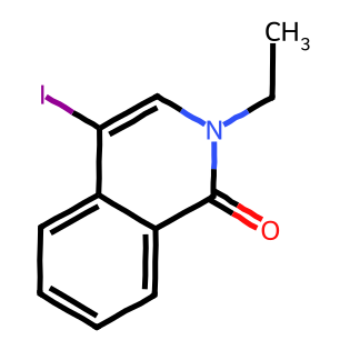 CCn1cc(I)c2ccccc2c1=O